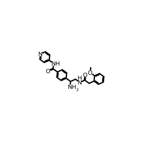 COc1ccccc1CC(=O)NCC(N)c1ccc(C(=O)Nc2ccncc2)cc1